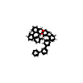 c1ccc(-c2cccc(-c3cccc(N(c4ccccc4-c4cccc5ccc6oc7ccccc7c6c45)c4cccc5sc6ccccc6c45)c3)c2)cc1